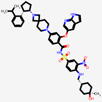 CC(C)c1ccccc1[C@@H]1CCC[C@@H]1N1CC2(CCN(c3ccc(C(=O)NS(=O)(=O)c4ccc(NC[C@H]5CC[C@](C)(O)CC5)c([N+](=O)[O-])c4)c(Oc4cnc5[nH]ccc5c4)c3)CC2)C1